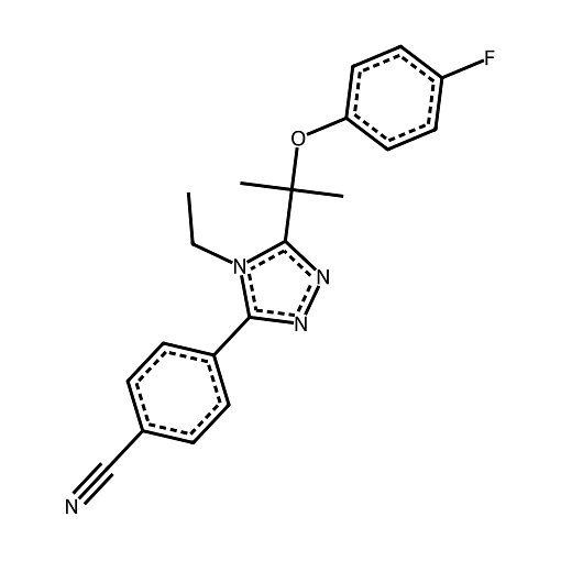 CCn1c(-c2ccc(C#N)cc2)nnc1C(C)(C)Oc1ccc(F)cc1